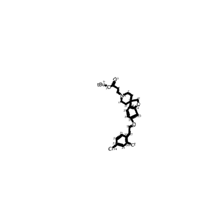 CC(C)(C)OC(=O)CCN1CCC2(CC1)COc1cc(OCCc3ccc(Cl)cc3Cl)ccc12